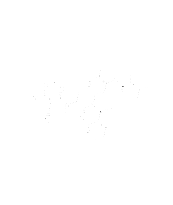 CC(C)NC(=O)Nc1cc(-n2c(C(C)Nc3ncnc(N)c3C#N)nc3cccc(Cl)c3c2=O)ccc1F